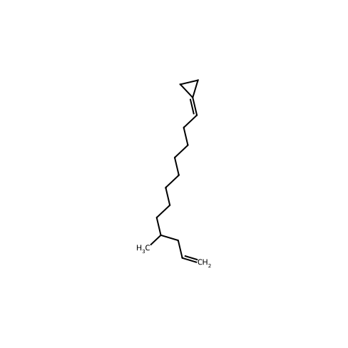 C=CCC(C)CCCCCCCC=C1CC1